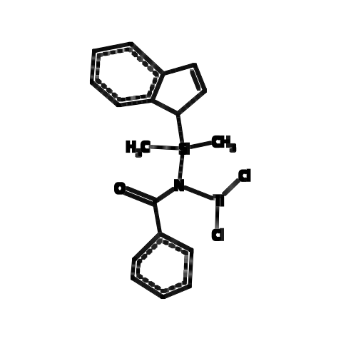 C[Si](C)(C1C=Cc2ccccc21)[N](C(=O)c1ccccc1)[Ti]([Cl])[Cl]